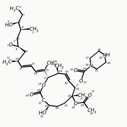 CC[C@H](O)[C@@H](C)[C@H]1O[C@@H]1C[C@H](C)/C=C/C=C(\C)[C@H]1OC(=O)C[C@H](O)CC[C@@](C)(OC(C)=O)[C@@H](OC(=O)N2CCNCC2)/C=C/[C@@H]1C